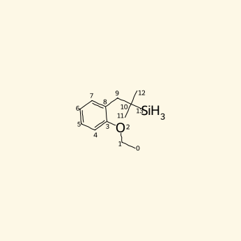 CCOc1ccccc1CC(C)(C)[SiH3]